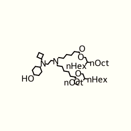 CCCCCCCCC(CCCCCC)COC(=O)CCCCCN(CCCCCC(=O)OCC(CCCCCC)CCCCCCCC)CCN(C1CCC1)C1CCC(O)CC1